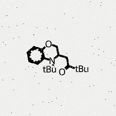 CC(C)(C)C(=O)CC1COc2ccccc2N1C(C)(C)C